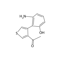 CC(=O)c1cscc1-c1c(N)cccc1O